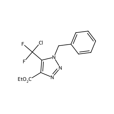 CCOC(=O)c1nnn(Cc2ccccc2)c1C(F)(F)Cl